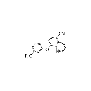 N#Cc1ccc(Oc2cccc(C(F)(F)F)c2)c2ncccc12